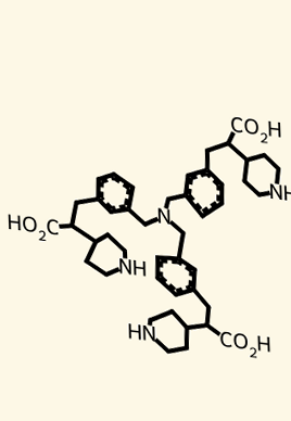 O=C(O)C(Cc1cccc(CN(Cc2cccc(CC(C(=O)O)C3CCNCC3)c2)Cc2cccc(CC(C(=O)O)C3CCNCC3)c2)c1)C1CCNCC1